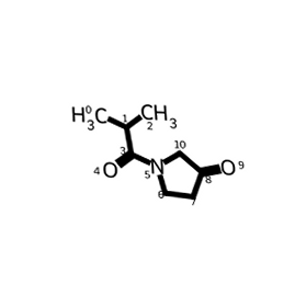 CC(C)C(=O)N1CCC(=O)C1